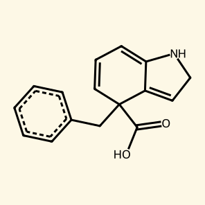 O=C(O)C1(Cc2ccccc2)C=CC=C2NCC=C21